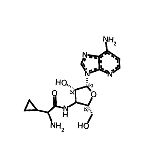 Nc1ccnc2c1ncn2[C@@H]1O[C@H](CO)C(NC(=O)C(N)C2CC2)[C@@H]1O